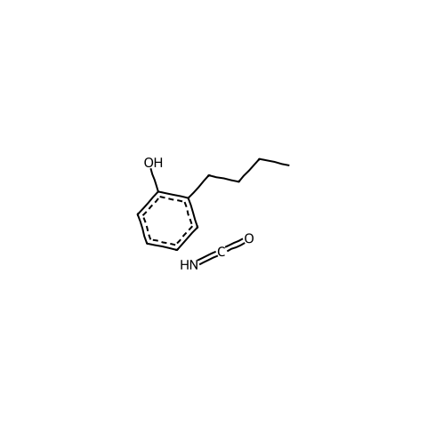 CCCCc1ccccc1O.N=C=O